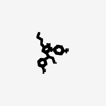 [CH2]CC(c1cccc(F)c1)c1cc(CCCC)nn1-c1ccc(F)cc1